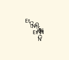 CCc1ccc2c(c1)CCN2C(=O)CSc1nnc(-c2ccncc2)n1CC